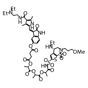 CCN[C@@H]1CN(CCCOC)S(=O)(=O)c2sc(S(=O)(=O)NC(=O)C(C)OC(=O)C(C)OC(=O)C(C)OC(=O)CCC(=O)Oc3ccc4c(c3)/C(=C/c3[nH]c(C)c(C(=O)NCCN(CC)CC)c3C)C(=O)N4)cc21